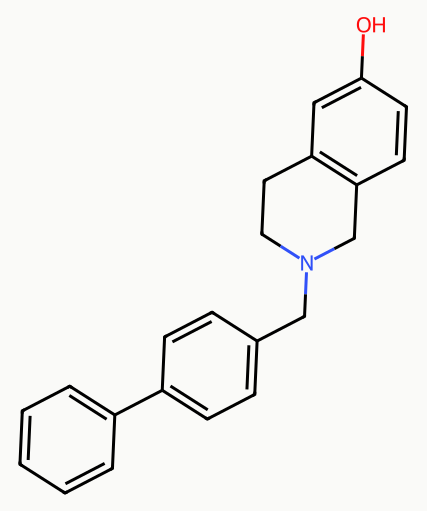 Oc1ccc2c(c1)CCN(Cc1ccc(-c3ccccc3)cc1)C2